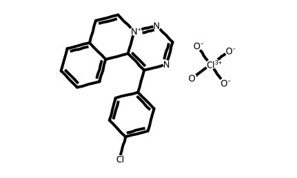 Clc1ccc(-c2ncn[n+]3ccc4ccccc4c23)cc1.[O-][Cl+3]([O-])([O-])[O-]